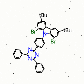 CC(C)(C)c1cc(Br)c2c(c1)c1cc(C(C)(C)C)cc(Br)c1n2-c1ccc(-c2nc(-c3ccccc3)nc(-c3ccccc3)n2)cc1